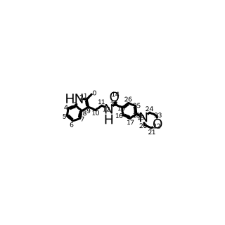 Cc1[nH]c2ccccc2c1CCNC(=O)c1ccc(N2CCOCC2)cc1